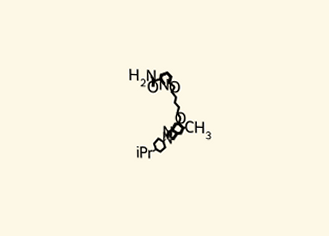 Cc1cc2cn([C@H]3CC[C@H](C(C)C)CC3)nc2cc1OCCCCCOc1cccc(C(N)=O)n1